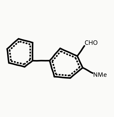 CNc1ccc(-c2ccccc2)cc1C=O